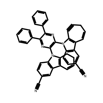 N#Cc1ccc2c(c1)c1c(n2-c2nc(-c3ccccc3)c(-c3ccccc3)nc2-n2c3c(c4cc(C#N)ccc42)C=CCC3)C#CCC=C1